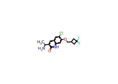 C[C@H](N)c1cc2cc(Cl)c(OCC3CC(F)(F)C3)cc2[nH]c1=O